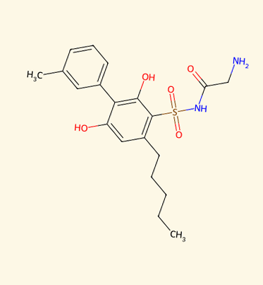 CCCCCc1cc(O)c(-c2cccc(C)c2)c(O)c1S(=O)(=O)NC(=O)CN